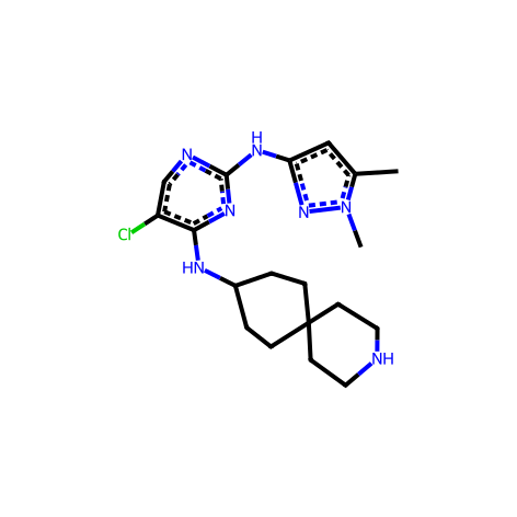 Cc1cc(Nc2ncc(Cl)c(NC3CCC4(CCNCC4)CC3)n2)nn1C